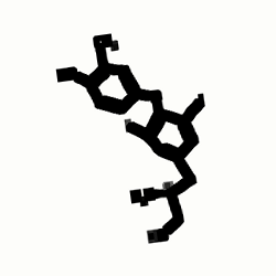 Cc1cc(Oc2c(I)cc(C[C@H](N)CO)cc2I)ccc1O